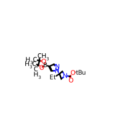 CCC1(n2cc(B3OC(C)(C)C(C)(C)O3)cn2)CN(C(=O)OC(C)(C)C)C1